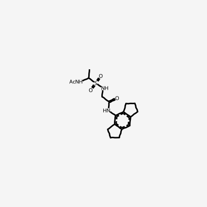 CC(=O)NC(C)S(=O)(=O)NCC(=O)Nc1c2c(cc3c1CCC3)CCC2